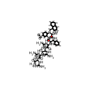 N=C(N)NC(NC(=O)C(NC(=N)N)NC(=O)C(NC(=N)N)NC(=O)C(NC(=N)N)NC(=O)C(NC(=O)C(O)N(Cc1c(O)ccc2ccccc12)c1ccc([N+](=O)[O-])cc1[N+](=O)[O-])c1ccccc1)C(N)=O